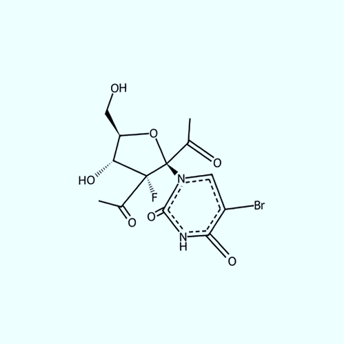 CC(=O)[C@@]1(F)[C@H](O)[C@@H](CO)O[C@@]1(C(C)=O)n1cc(Br)c(=O)[nH]c1=O